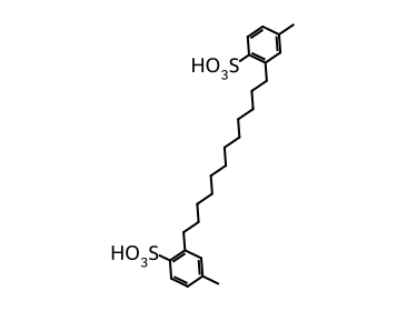 Cc1ccc(S(=O)(=O)O)c(CCCCCCCCCCCCc2cc(C)ccc2S(=O)(=O)O)c1